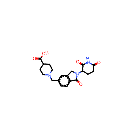 O=C1CCC(N2Cc3cc(CN4CCC(C(=O)O)CC4)ccc3C2=O)C(=O)N1